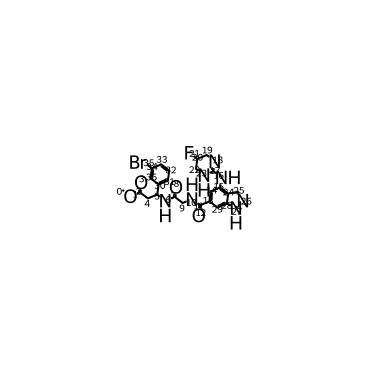 COC(=O)CC(NC(=O)CNC(=O)c1cc(NC2=NCC(F)CN2)c2cn[nH]c2c1)c1cccc(Br)c1